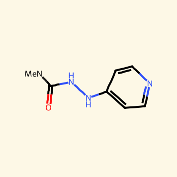 CNC(=O)NNc1ccncc1